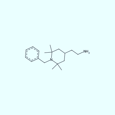 CC1(C)CC(CCN)CC(C)(C)N1Cc1ccccc1